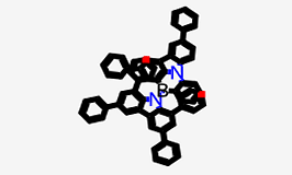 c1ccc(-c2cc(-c3ccccc3)c3c(c2)c2cc(-c4ccccc4)cc(-c4ccccc4)c2n3B2c3ccccc3-n3c4ccc(-c5ccccc5)cc4c4cc(-c5ccccc5)cc2c43)cc1